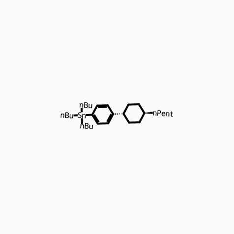 CCCCC[C@H]1CC[C@H](c2cc[c]([Sn]([CH2]CCC)([CH2]CCC)[CH2]CCC)cc2)CC1